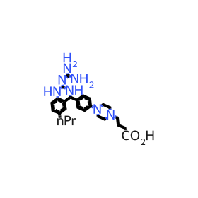 CCCc1ccc2c(c1)C(c1ccc(N3CCN(CCCC(=O)O)CC3)cc1)NC(N=C(N)N)N2